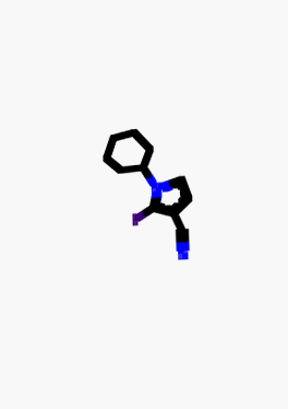 N#Cc1ccn(C2CCCCC2)c1I